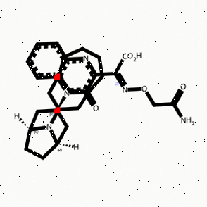 NC(=O)CO/N=C(\C(=O)O)c1nc2ccccc2n([C@H]2C[C@H]3CC[C@@H](C2)N3C2CC3CCCCC(C3)C2)c1=O